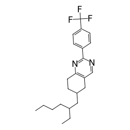 CCCCC(CC)CC1CCc2nc(-c3ccc(C(F)(F)F)cc3)ncc2C1